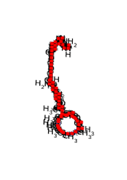 CO[C@H]1CC2CCCC(O2)C(=O)C(=O)N2CCCC[C@H]2C(=O)O[C@H](CC[C@@H]2CC[C@@H](OC(=O)N3CCc4nc(N5CCN(c6ncc(C(=O)NCCOCCOCCOCCOCCC(=O)N7CCc8cc(Cn9nc(-c%10cnc%11[nH]ccc%11c%10)c%10c(N)ncnc%109)ccc8C7)c(N)n6)CC5)ncc4C3)[C@H](OC)C2)CC(=O)[C@H](C)/C=C(\C)[C@@H](O)[C@@H](O)C(=O)[C@H](C)C[C@H](C)/C=C/C=C/C=C/1C